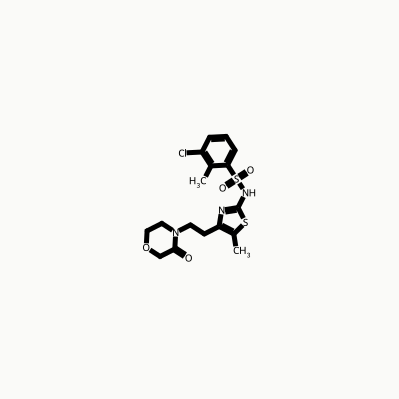 Cc1sc(NS(=O)(=O)c2cccc(Cl)c2C)nc1CCN1CCOCC1=O